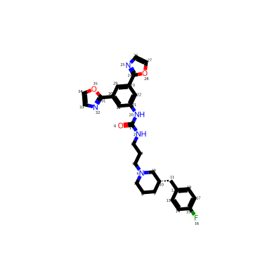 O=C(NCCCN1CCC[C@@H](Cc2ccc(F)cc2)C1)Nc1cc(-c2ncco2)cc(-c2ncco2)c1